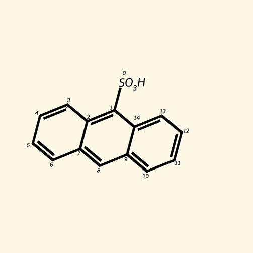 O=S(=O)(O)c1c2[c]cccc2cc2ccccc12